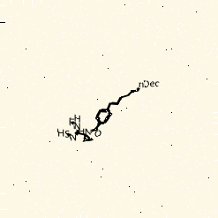 CCCCCCCCCCCCCCCCc1ccc(C(=O)NC2(/C(=N/S)NF)CC2)cc1